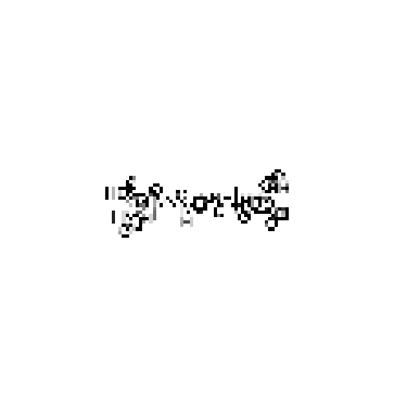 O=C(O)CC[C@H](NC(=O)[C@@H]1CCC(=O)N1)C(=O)NCCC(=O)Nc1ccc(NC(=O)CCNC(=O)[C@H](CCC(=O)O)NC(=O)[C@@H]2CCC(=O)N2)cc1